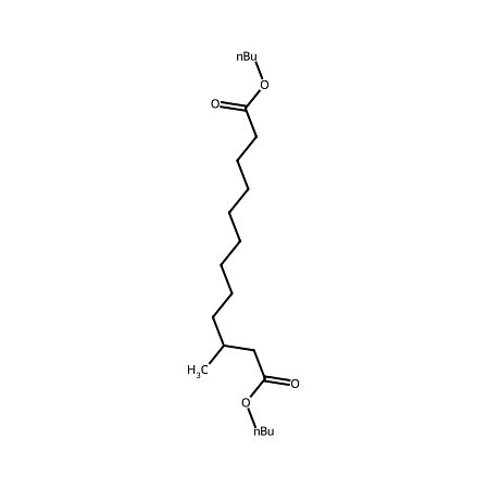 CCCCOC(=O)CCCCCCCCC(C)CC(=O)OCCCC